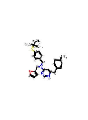 Cc1ccc(Cc2cc(N(Cc3ccc(SC(C)(C)C(=O)O)cc3)Cc3ccco3)ncn2)cc1